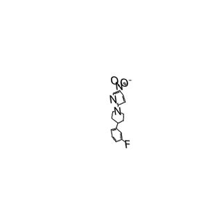 O=[N+]([O-])c1ccc(N2CCC(c3cccc(F)c3)CC2)nc1